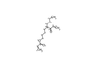 C=CC(=O)OCCCCN(CCCC)C(=O)C=C